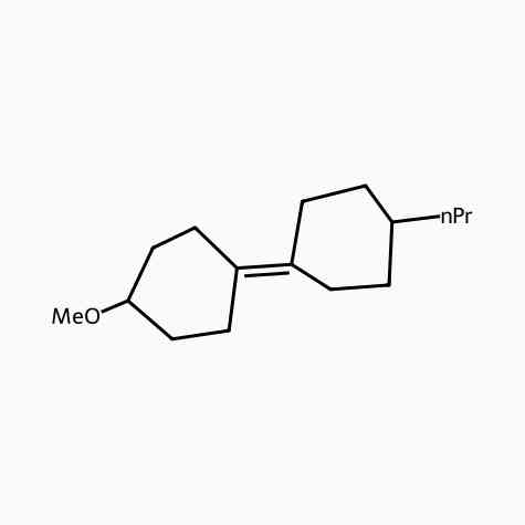 CCCC1CCC(=C2CCC(OC)CC2)CC1